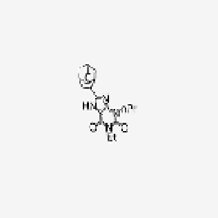 CCCn1c(=O)n(CC)c(=O)c2[nH]c(C34CC5CC(CC3C5)C4)nc21